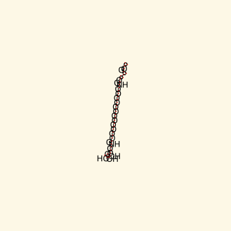 C[C@@H]1O[C@@H](OCCOCCNC(=O)CCOCCOCCOCCOCCOCCOCCOCCOCCOCCOCCOCCOCCNC(=O)COc2ccc(-c3cccc(C(=O)OCc4ccccc4)c3)cc2)[C@H](O)[C@H](O)[C@H]1O